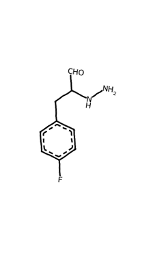 NNC(C=O)Cc1ccc(F)cc1